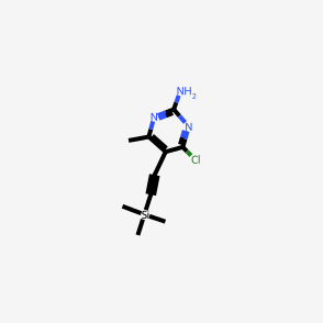 Cc1nc(N)nc(Cl)c1C#C[Si](C)(C)C